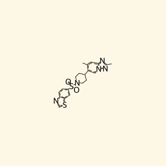 Cc1nc2cc(C)c(C3CCN(S(=O)(=O)c4ccc5ncsc5c4)CC3)cn2n1